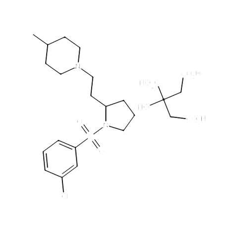 CC1CCN(CCC2CCCN2S(=O)(=O)c2cccc(Cl)c2)CC1.O=C(O)CC(O)(CC(=O)O)C(=O)O